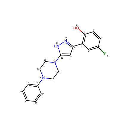 Oc1ccc(F)cc1-c1cc(N2CCN(c3ccccc3)CC2)[nH]n1